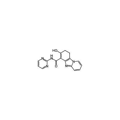 O=C(Nc1ncccn1)C1=C(O)CCc2c1nc1ccccn21